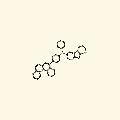 C1=Cc2c(oc3ccc(N(c4ccccc4)c4ccc(-c5cc6ccc7ccccc7c6c6ccccc56)cc4)cc23)NC1